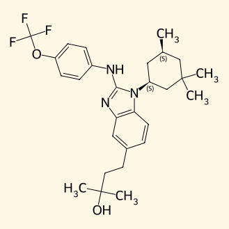 C[C@@H]1C[C@H](n2c(Nc3ccc(OC(F)(F)F)cc3)nc3cc(CCC(C)(C)O)ccc32)CC(C)(C)C1